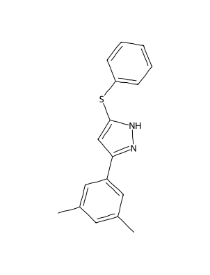 Cc1cc(C)cc(-c2cc(Sc3ccccc3)[nH]n2)c1